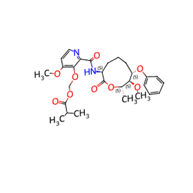 COc1ccnc(C(=O)N[C@H]2CCC[C@H](Oc3ccccc3)[C@@H](OC)[C@H](C)OC2=O)c1OCOC(=O)C(C)C